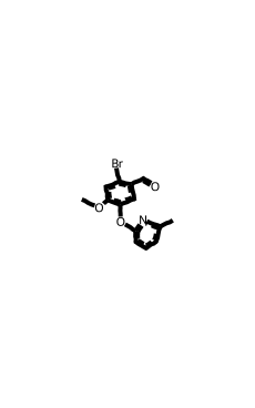 COc1cc(Br)c(C=O)cc1Oc1cccc(C)n1